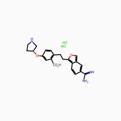 Cl.Cl.N=C(N)c1ccc2c(CCc3ccc(O[C@H]4CCNC4)cc3C(=O)O)occ2c1